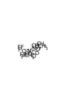 COC(=O)N(Cc1cc(C(F)(F)F)cc(C(F)(F)F)c1)C1CC(C)N(C(=O)OC(C)C)c2c1cc(Cl)c1ccccc21